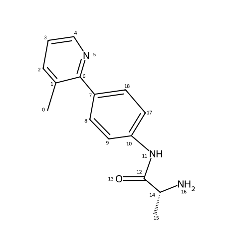 Cc1cccnc1-c1ccc(NC(=O)[C@@H](C)N)cc1